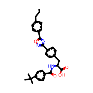 CCCc1ccc(-c2nc(-c3ccc(CC(NC(=O)c4ccc(C(C)(C)C)cc4)C(=O)O)cc3)no2)cc1